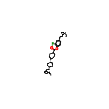 CCCc1ccc(OC(=O)C2CCC([C@H]3CC[C@H](CCC)CC3)CC2)c(F)c1